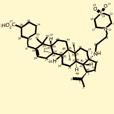 C=C(C)[C@@H]1CC[C@]2(NCCN3CCS(=O)(=O)CC3)CC[C@]3(C)[C@H](CC[C@@H]4[C@@]5(C)CC=C(CC6CCCC(C(=O)O)C6)C(C)(C)[C@@H]5CC[C@]43C)[C@@H]12